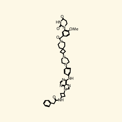 COc1ccc(C(=O)N2CCC3(CC2)CC(N2CCN(c4ccc(Nc5ncnc6c5ncn6C5CC(NC(=O)Cc6ccccc6)C5)cc4)CC2)C3)cc1N1CCC(=O)NC1=O